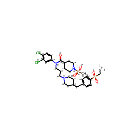 CCS(=O)(=O)c1ccc(CC2CCN(CCCN(C(=O)C3CCN(S(C)(=O)=O)CC3)c3ccc(Cl)c(Cl)c3)CC2)cc1